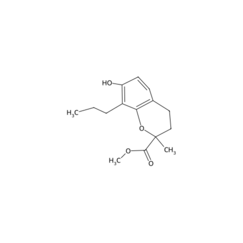 CCCc1c(O)ccc2c1OC(C)(C(=O)OC)CC2